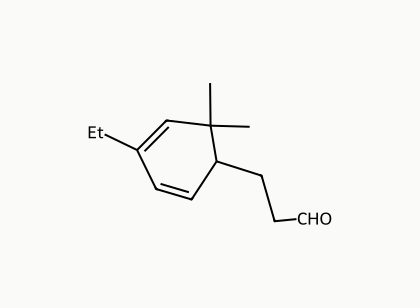 CCC1=CC(C)(C)C(CCC=O)C=C1